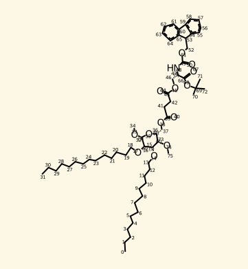 CCCCCCCCCCCCCCO[C@@H]1[C@@H](OCCCCCCCCCCCCCC)[C@@H](OC)O[C@H](COC(=O)CCC(=O)OC[C@H](NC(=O)OCC2c3ccccc3-c3ccccc32)C(=O)OC(C)(C)C)[C@H]1OC